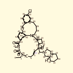 CC[C@@H]1CC/C=C/[C@@](CN2CCN3CCCC[C@@H]3C2)(OC)[C@@H]2CC[C@H]2CN2CCCCc3cc(Cl)ccc3COc3ccc(cc32)C(=O)N(C)S1(=O)=O